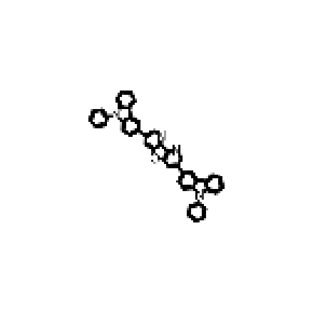 c1ccc(-n2c3ccccc3c3cc(-c4cnc5c(c4)oc4cc(-c6ccc7c(c6)c6ccccc6n7-c6ccccc6)cnc45)ccc32)cc1